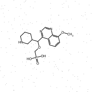 COc1cccc2c(C(OCP(=O)(O)O)C3CCCNC3)ncnc12